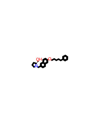 OC[C@H]1CCCN1Cc1ccc2cc(OCCCCCc3ccccc3)ccc2c1